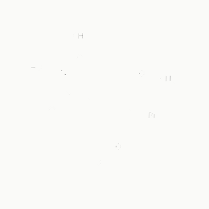 COc1cc(C(=O)N(C)OC)cc(OC)c1Br